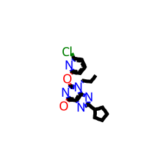 CCCn1c(Oc2cccc(Cl)n2)nc(=O)c2c1N=C(C1CCCC1)[N]2